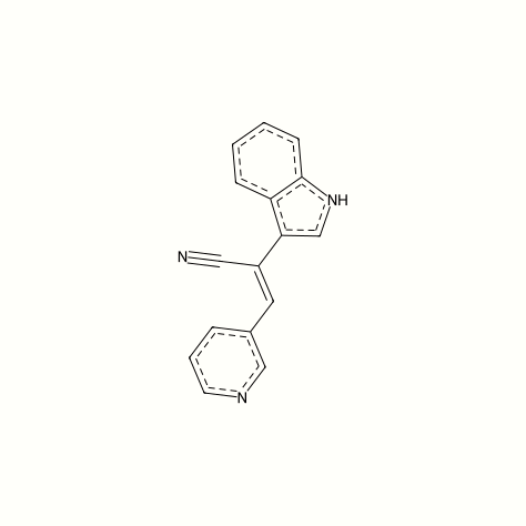 N#CC(=Cc1cccnc1)c1c[nH]c2ccccc12